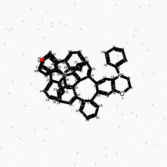 c1ccc(N2CCOc3cc4c(cc32)-c2cccc(-n3c5ccccc5c5ccccc53)c2-c2c(cccc2-n2c3ccccc3c3ccccc32)-c2ccccc2-4)cc1